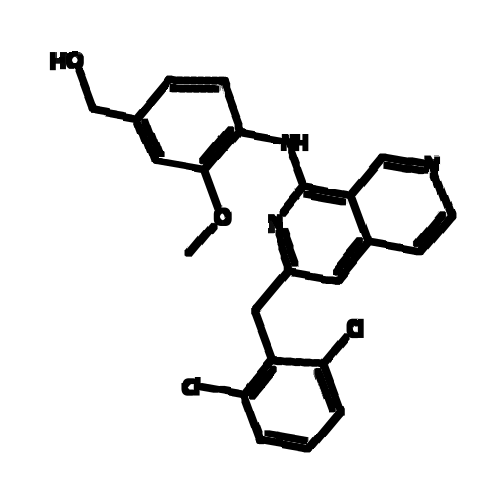 COc1cc(CO)ccc1Nc1nc(Cc2c(Cl)cccc2Cl)cc2ccncc12